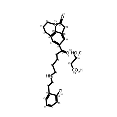 O=C(CCCCNCCc1ccccc1Cl)c1cc2c3c(c1)CC(=O)N3CCC2.O=C(O)CCC(=O)O